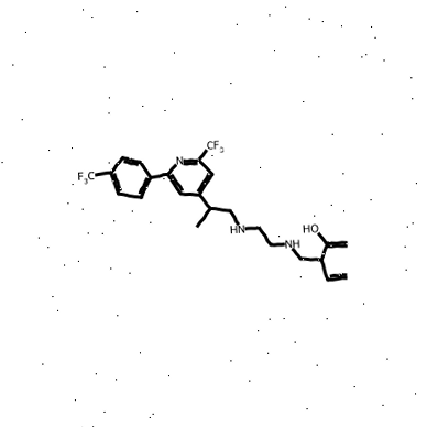 C=CC(CNCCNCC(C)c1cc(-c2ccc(C(F)(F)F)cc2)nc(C(F)(F)F)c1)C(=C)O